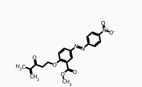 C=C(C)C(=O)CCOc1ccc(N=Nc2ccc([N+](=O)[O-])cc2)cc1C(=O)OC